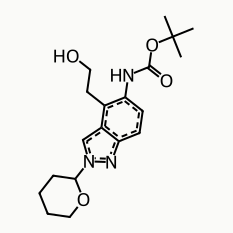 CC(C)(C)OC(=O)Nc1ccc2nn(C3CCCCO3)cc2c1CCO